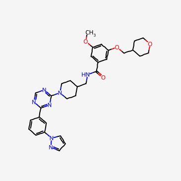 COc1cc(OCC2CCOCC2)cc(C(=O)NCC2CCN(c3ncnc(-c4cccc(-n5cccn5)c4)n3)CC2)c1